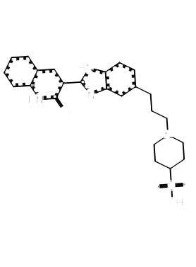 CS(=O)(=O)C1CCN(CCCc2ccc3[nH]c(-c4cc5ccccc5[nH]c4=O)nc3c2)CC1